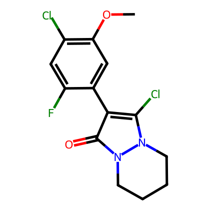 COc1cc(-c2c(Cl)n3n(c2=O)CCCC3)c(F)cc1Cl